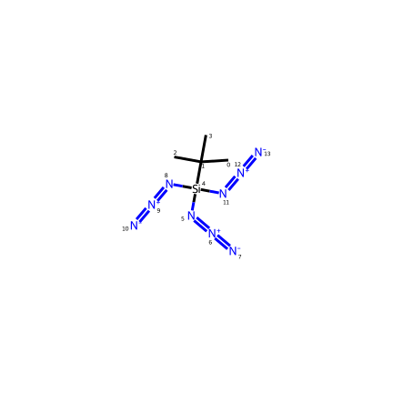 CC(C)(C)[Si](N=[N+]=[N-])(N=[N+]=[N-])N=[N+]=[N-]